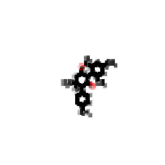 Cc1ccc(C2C(=O)C(c3c(C)cc(C)cc3C)C(=O)CC2(C)C)cc1